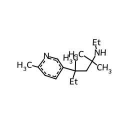 CCNC(C)(C)CC(C)(CC)c1ccc(C)nc1